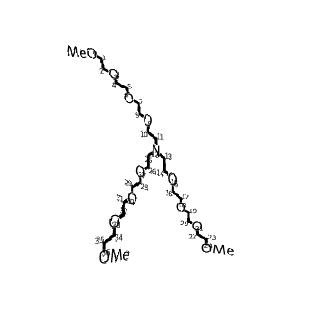 COCCOCCOCCOCCN(CCOCCOCCOCCOC)CCOCCOCCOCCOC